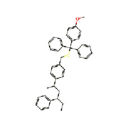 CCC(CC(C)c1ccc(CSC(c2ccccc2)(c2ccccc2)c2ccc(OC)cc2)cc1)c1ccccc1